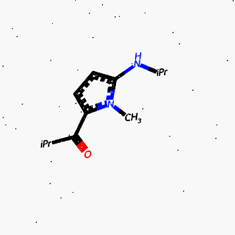 CC(C)Nc1ccc(C(=O)C(C)C)n1C